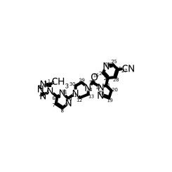 Cc1nnnn1-c1ccnc(N2CCN(C(=O)N3N=CCC3c3cncc(C#N)c3)CC2)n1